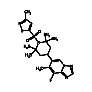 BC1(B)CC(c2cn3ncnc3c(F)c2C)CC(B)(B)N1S(=O)(=O)c1cc(C)ns1